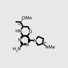 CN[C@@H]1CCN(c2nc(N)nc3c2OCC([C@H](C)OC)N3)C1